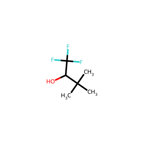 CC(C)(C)C(O)C(F)(F)F